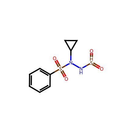 O=[SH](=O)NN(C1CC1)S(=O)(=O)c1ccccc1